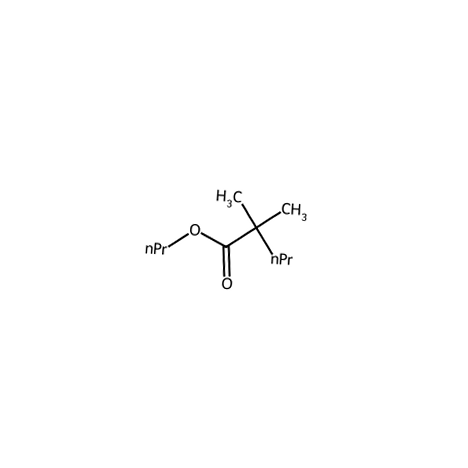 CCCOC(=O)C(C)(C)CCC